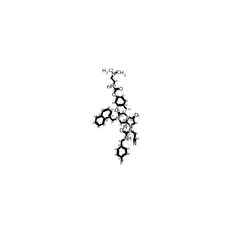 CN(C)CCNC(=O)Oc1ccc(C[C@H]2C(=O)N(Cc3cccc4ccccc34)C[C@H]3N2C(=O)CN3N(CC#N)C(=O)NCc2ccc(F)cc2)cc1